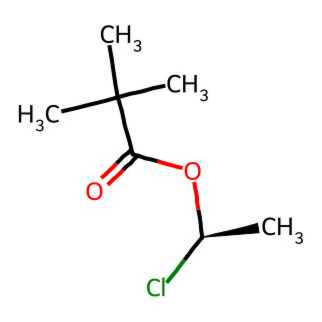 C[C@@H](Cl)OC(=O)C(C)(C)C